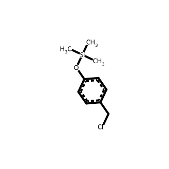 C[Si](C)(C)Oc1ccc(CCl)cc1